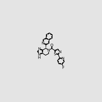 O=C(c1cnc(-c2ccc(F)cn2)s1)N1CCc2[nH]cnc2[C@H]1c1cc2ccccc2cn1